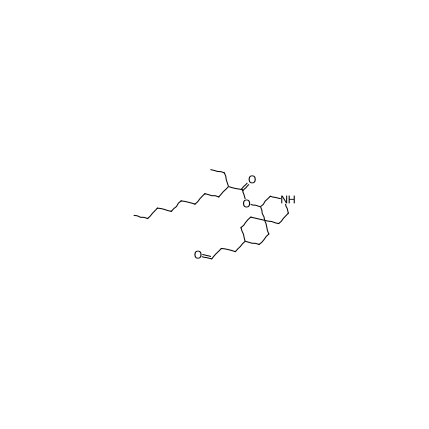 CCCCCCCCC(CC)C(=O)OC1CNCCC12CCC(CCC=O)CC2